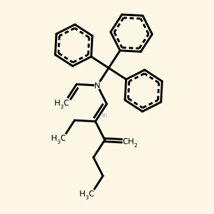 C=CN(/C=C(\CC)C(=C)CCC)C(c1ccccc1)(c1ccccc1)c1ccccc1